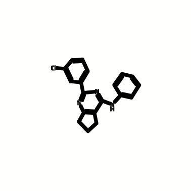 Clc1cccc(-c2nc3c(c(Nc4ccccc4)n2)CCC3)c1